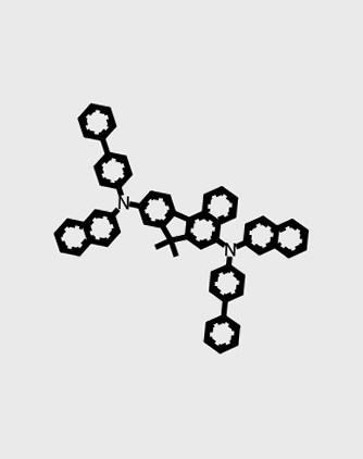 CC1(C)c2cc(N(c3ccc(-c4ccccc4)cc3)c3ccc4ccccc4c3)ccc2-c2c1cc(N(c1ccc(-c3ccccc3)cc1)c1ccc3ccccc3c1)c1ccccc21